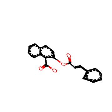 [O]C(=O)c1c(OC(=O)C=Cc2ccccc2)ccc2ccccc12